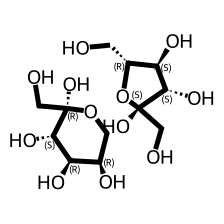 OC[C@@]1(O)OC[C@@H](O)[C@@H](O)[C@@H]1O.OC[C@H]1O[C@@](O)(CO)[C@@H](O)[C@@H]1O